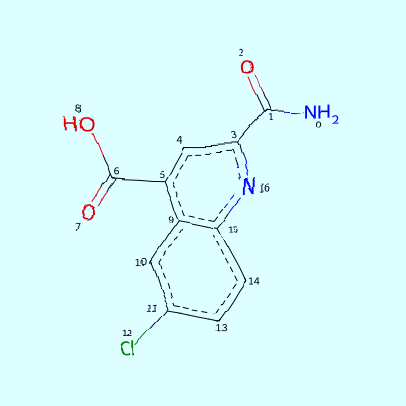 NC(=O)c1cc(C(=O)O)c2cc(Cl)ccc2n1